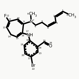 C/C=C\C=C/CCN(C)C1=CC(F)=CCC=C1Nc1ccc(Br)cc1C=O